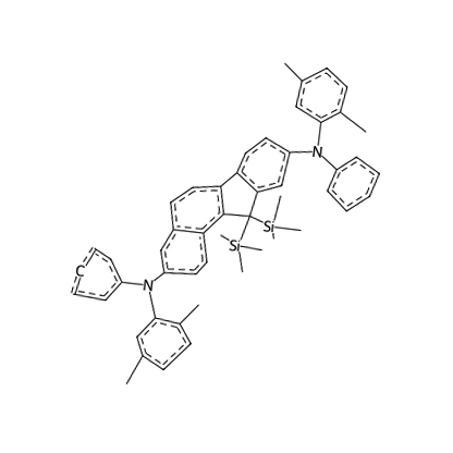 Cc1ccc(C)c(N(c2ccccc2)c2ccc3c(c2)C([Si](C)(C)C)([Si](C)(C)C)c2c-3ccc3cc(N(c4ccccc4)c4cc(C)ccc4C)ccc23)c1